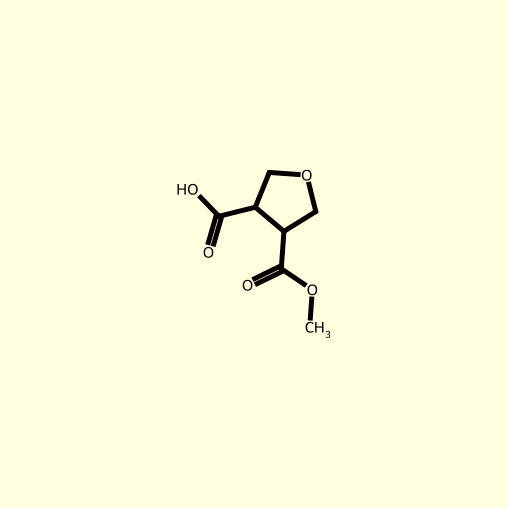 COC(=O)C1COCC1C(=O)O